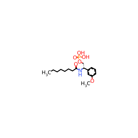 CCCCCCCC(=O)N[C@H](COP(=O)(O)O)c1cccc(OC)c1